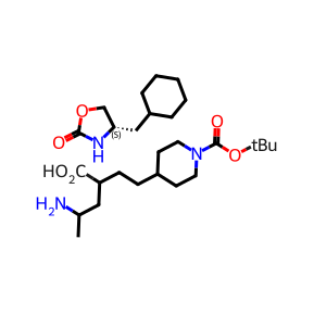 CC(N)CC(CCC1CCN(C(=O)OC(C)(C)C)CC1)C(=O)O.O=C1N[C@@H](CC2CCCCC2)CO1